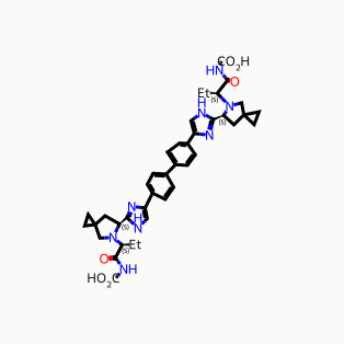 CC[C@@H](C(=O)NC(=O)O)N1CC2(CC2)C[C@H]1c1nc(-c2ccc(-c3ccc(-c4c[nH]c([C@@H]5CC6(CC6)CN5[C@@H](CC)C(=O)NC(=O)O)n4)cc3)cc2)c[nH]1